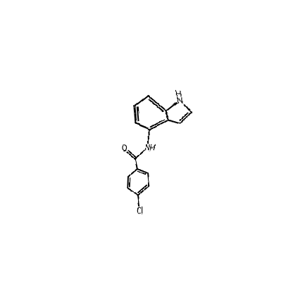 O=C(Nc1cccc2[nH]ccc12)c1ccc(Cl)cc1